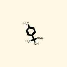 COC(C)(O)c1ccc(C)cc1